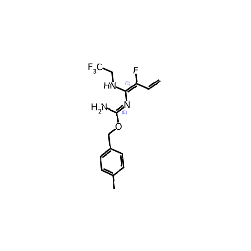 C=C/C(F)=C(\N=C(/N)OCc1ccc(C)cc1)NCC(F)(F)F